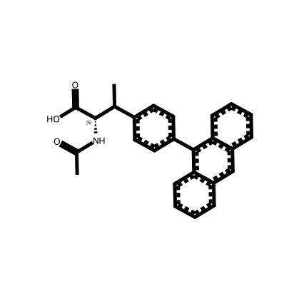 CC(=O)N[C@H](C(=O)O)C(C)c1ccc(-c2c3ccccc3cc3ccccc23)cc1